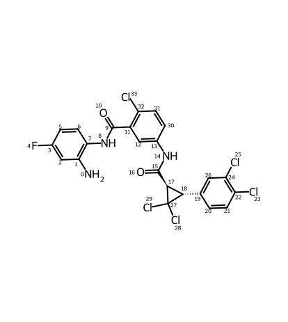 Nc1cc(F)ccc1NC(=O)c1cc(NC(=O)[C@H]2[C@H](c3ccc(Cl)c(Cl)c3)C2(Cl)Cl)ccc1Cl